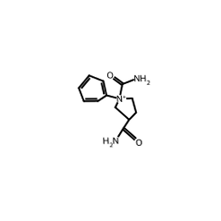 NC(=O)C1CC[N+](C(N)=O)(c2ccccc2)C1